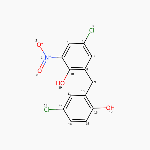 O=[N+]([O-])c1cc(Cl)cc(Cc2cc(Cl)ccc2O)c1O